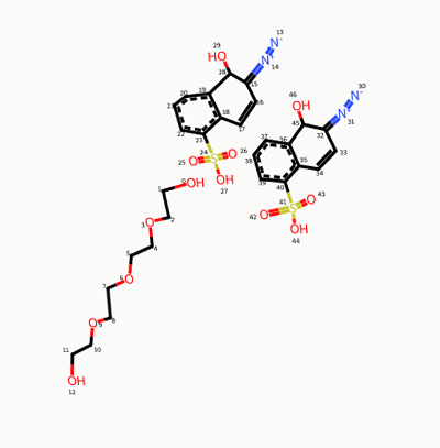 OCCOCCOCCOCCO.[N-]=[N+]=C1C=Cc2c(cccc2S(=O)(=O)O)C1O.[N-]=[N+]=C1C=Cc2c(cccc2S(=O)(=O)O)C1O